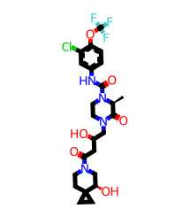 C[C@H]1C(=O)N(CC(O)CC(=O)N2CCC3(CC3)[C@H](O)C2)CCN1C(=O)Nc1ccc(OC(F)(F)F)c(Cl)c1